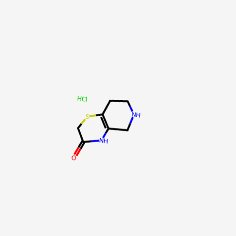 Cl.O=C1CSC2=C(CNCC2)N1